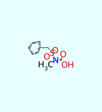 CN(C(=O)O)S(=O)(=O)Cc1ccccc1